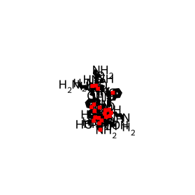 C[C@H](NC(=O)[C@H](CC(N)=O)NC(=O)[C@H](CCCCN)NC(=O)[C@H](CS)NC(=O)CN)C(=O)N[C@@H](Cc1ccccc1)C(=O)N[C@@H](Cc1c[nH]c2ccccc12)C(=O)N[C@@H](CCCCN)C(=O)N[C@H](C(=O)N[C@@H](C)C(=O)N[C@H](C(=O)N[C@@H](CO)C(=O)N(c1ccccc1)[C@@](C(=O)O)(c1ccccc1)C(S)CCN)[C@@H](C)O)[C@@H](C)O